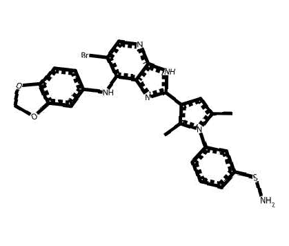 Cc1cc(-c2nc3c(Nc4ccc5c(c4)OCO5)c(Br)cnc3[nH]2)c(C)n1-c1cccc(SN)c1